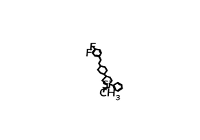 CCC[Si]1(c2ccccc2)CCC(C2CCC(CCc3ccc(F)c(F)c3)CC2)CC1